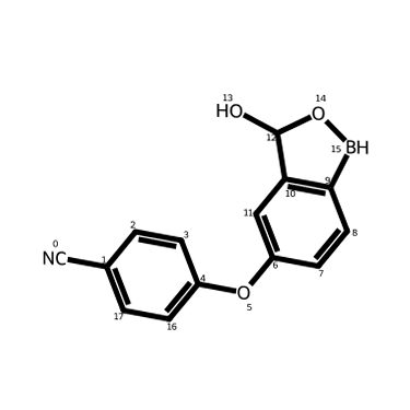 N#Cc1ccc(Oc2ccc3c(c2)C(O)OB3)cc1